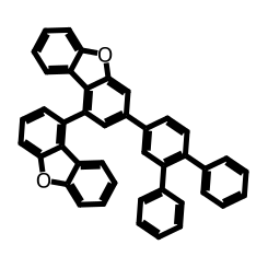 c1ccc(-c2ccc(-c3cc(-c4cccc5oc6ccccc6c45)c4c(c3)oc3ccccc34)cc2-c2ccccc2)cc1